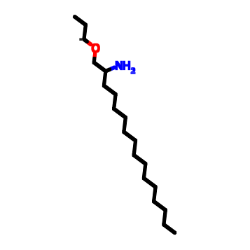 CC[CH]OCC(N)CCCCCCCCCCCCCC